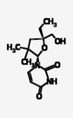 CC[C@]1(CO)CC(C)(C)[C@H](n2ccc(=O)[nH]c2=O)O1